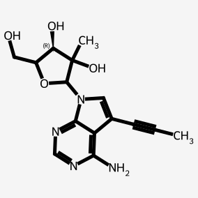 CC#Cc1cn(C2OC(CO)[C@@H](O)C2(C)O)c2ncnc(N)c12